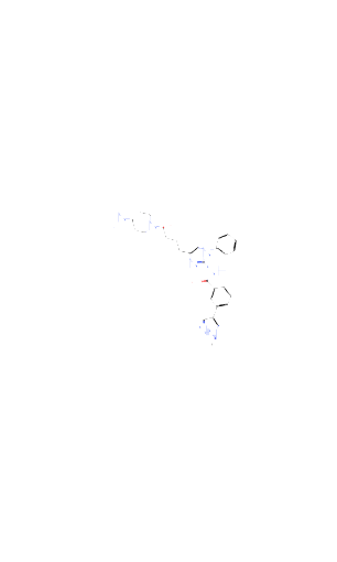 Cn1cc(-c2cccc(C(=O)Nc3nc(CCCC(=O)N4CCC(N)CC4)cn3-c3ccccc3)c2)cn1